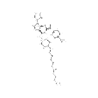 CCCCOCCCCCCC1CCN(Nc2nc(N[C@H]3CC[C@H](N)CC3)nc3c2ncn3C2CCCC2)CC1